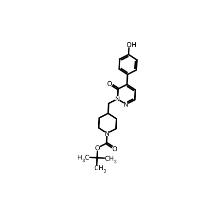 CC(C)(C)OC(=O)N1CCC(Cn2nccc(-c3ccc(O)cc3)c2=O)CC1